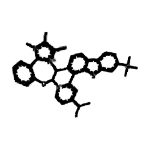 Cc1c(C)[n+]2c(n1C)-c1ccccc1OC1C2c2ccc3c(sc4cc([Si](C)(C)C)ccc43)c2-c2cc(C(C)C)cc[n+]21